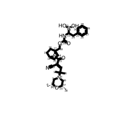 C[C@@H]1CN(C(C)(C)C=C(C#N)C(=O)N2C3CCC2(COC(=O)NC(Cc2ccccc2)B(O)O)CC3)C[C@H](C)O1